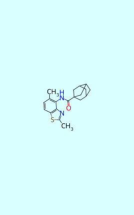 Cc1nc2c(NC(=O)C34CC5CC(C3)C(C5)C4)c(C)ccc2s1